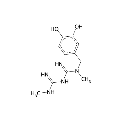 CNC(=N)NC(=N)N(C)Cc1ccc(O)c(O)c1